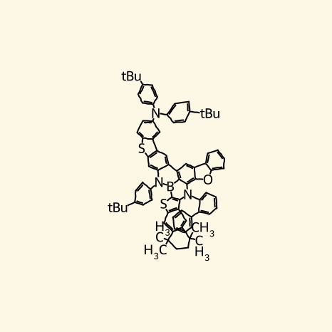 CC(C)(C)c1ccc(N2B3c4sc5cc6c(cc5c4N(c4ccccc4-c4ccccc4)c4c3c(cc3c4oc4ccccc43)-c3cc4c(cc32)sc2ccc(N(c3ccc(C(C)(C)C)cc3)c3ccc(C(C)(C)C)cc3)cc24)C(C)(C)CCC6(C)C)cc1